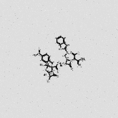 C=C(C)[C@H](C(=O)O)N1C(=O)[C@H](Br)[C@H]1SSc1nc2ccccc2s1.CC1(C)S[C@@H]2C(Br)C(=O)N2[C@@]1(Cc1ccc([N+](=O)[O-])cc1)C(=O)O